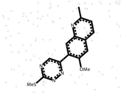 COc1cc2ccc(C)nc2cc1-c1cnc(SC)nn1